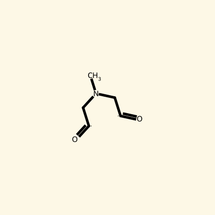 CN(C[C]=O)C[C]=O